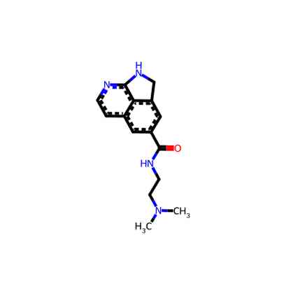 CN(C)CCNC(=O)c1cc2c3c(nccc3c1)NC2